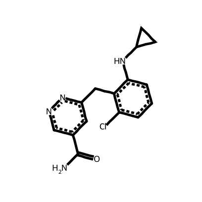 NC(=O)c1cnnc(Cc2c(Cl)cccc2NC2CC2)c1